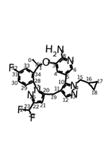 C[C@H]1Oc2cc(cnc2N)-c2c(cnn2CC2CC2)Cc2cc(C(F)F)nn2-c2ccc(F)cc21